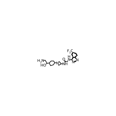 NCC(O)C1CCC(N2CC(NC(=O)CNc3ncnc4ccc(C(F)(F)F)cc34)C2)CC1